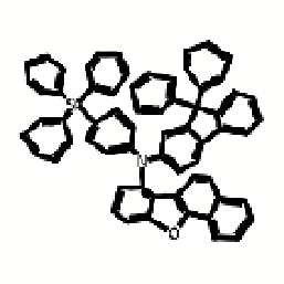 c1ccc(C2(c3ccccc3)c3ccccc3-c3ccc(N(c4ccc([Si](c5ccccc5)(c5ccccc5)c5ccccc5)cc4)c4cccc5oc6c7ccccc7ccc6c45)cc32)cc1